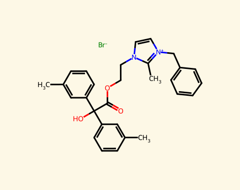 Cc1cccc(C(O)(C(=O)OCCn2cc[n+](Cc3ccccc3)c2C)c2cccc(C)c2)c1.[Br-]